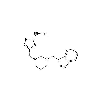 CNc1ncc(CN2CCCC(Cn3cnc4ccccc43)C2)s1